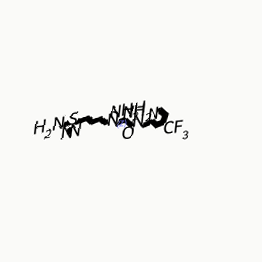 N/C(=C\N(N)CCCCc1nnc(N)s1)C(=O)NCc1cc(C(F)(F)F)ccn1